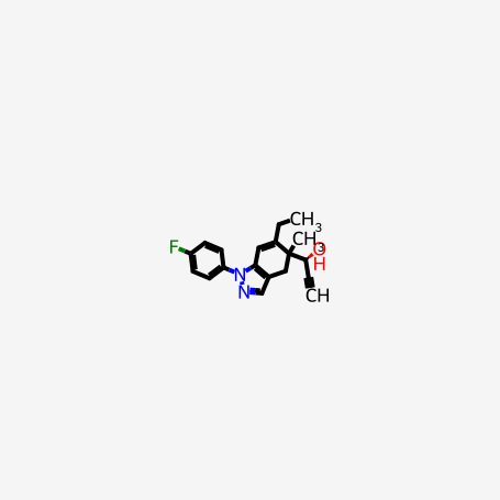 C#C[C@H](O)C1(C)Cc2cnn(-c3ccc(F)cc3)c2C=C1CC